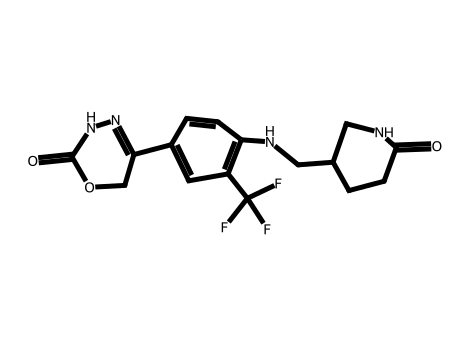 O=C1CCC(CNc2ccc(C3=NNC(=O)OC3)cc2C(F)(F)F)CN1